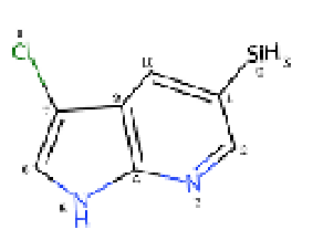 [SiH3]c1cnc2[nH]cc(Cl)c2c1